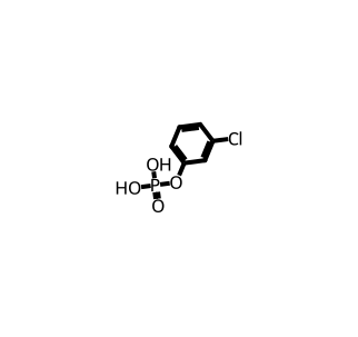 O=P(O)(O)Oc1cccc(Cl)c1